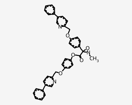 CN1OC1(C(=O)Oc1ccc(OCc2ccc(-c3ccccc3)cn2)cc1)c1ccc(OCc2ccc(-c3ccccc3)cn2)cc1